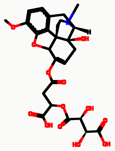 COc1ccc2c3c1OC1C(OC(=O)CC(OC(=O)[C@H](O)[C@@H](O)C(=O)O)C(=O)O)=CC[C@@]4(O)[C@@H](C2)N(C)CC[C@]314